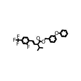 CC(C)C(/C=C/c1ccc(C(F)(F)F)cc1F)C(=O)OCc1cccc(Oc2ccccc2)c1